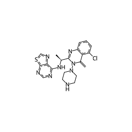 C=C1c2c(Cl)cccc2N=C([C@H](C)Nc2ncnc3scnc23)N1N1CCNCC1